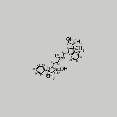 C=C(CO)C(C)(CCCCC(=O)CCCCC(C)(CCCO)c1ccccc1)c1ccccc1